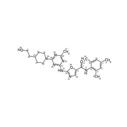 Cc1cc(C)c(NC(=O)c2cnc(Nc3nc(C)nc(N4CCC(CCO)CC4)n3)o2)c(C)c1